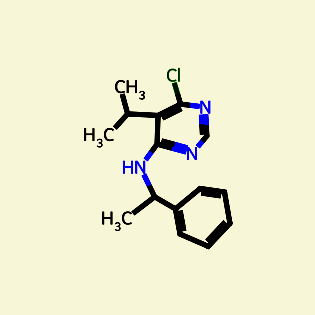 CC(C)c1c(Cl)ncnc1NC(C)c1ccccc1